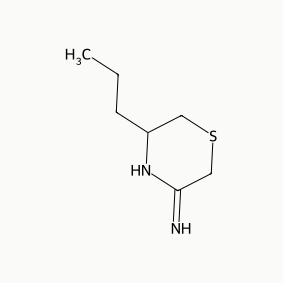 CCCC1CSCC(=N)N1